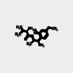 COc1ccc([C@@H](C)[C@@H](C)OC(=O)[C@@H](N)C(C)C)c(C)c1